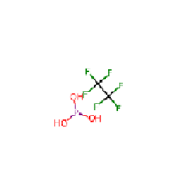 FC(F)(F)C(F)(F)F.OP(O)O